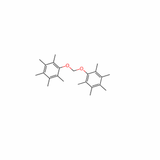 Cc1c(C)c(C)c(OCOc2c(C)c(C)c(C)c(C)c2C)c(C)c1C